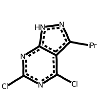 CC(C)c1n[nH]c2nc(Cl)nc(Cl)c12